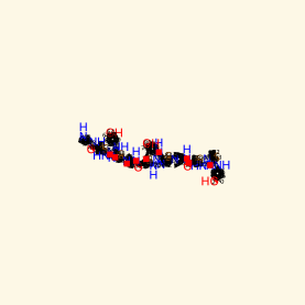 C[C@]1(O)CC[C@H](Nc2nc(Nc3cc(C(=O)NC4CCN(c5cc6nc(Nc7cc(C(=O)N[C@@H]8CCN(c9cc%10nc(Nc%11cc(C(=O)N[C@H]%12CCNC%12)cs%11)nc(N[C@H]%11CC[C@](C)(O)CC%11)c%10s9)C8)cs7)nc(N[C@H]7CC[C@](C)(O)CC7)c6s5)CC4)cs3)nc3ccsc23)CC1